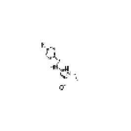 CCn1nc(NCc2ccc(F)cc2)cc1C=O